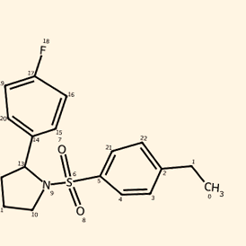 CCc1ccc(S(=O)(=O)N2CCCC2c2ccc(F)cc2)cc1